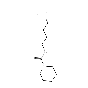 C[S+]([O-])CCCCNC(=S)N1CCCCC1